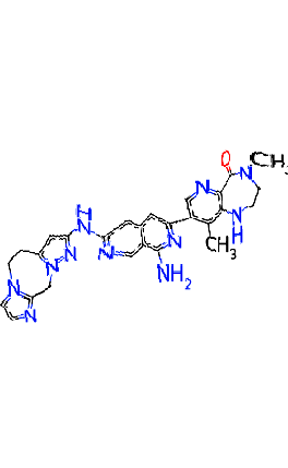 Cc1c(-c2cc3cc(Nc4cc5n(n4)Cc4nccn4CC5)ncc3c(N)n2)cnc2c1NCCN(C)C2=O